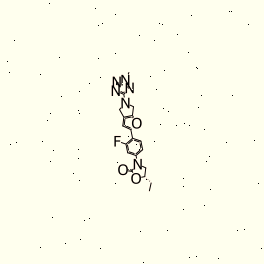 CC[C@H]1CN(c2ccc(-c3cc4c(o3)CN(c3nnn(C)n3)C4)c(F)c2)C(=O)O1